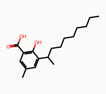 CCCCCCCCC(C)c1cc(C)cc(C(=O)O)c1O